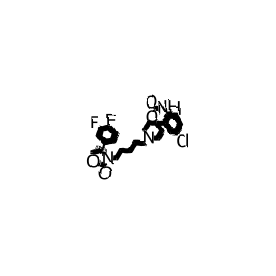 O=C1Nc2ccc(Cl)cc2C2(CCN(CCCCCN3C(=O)OC[C@H]3c3ccc(F)c(F)c3)CC2)O1